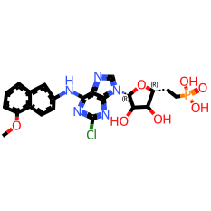 COc1cccc2cc(Nc3nc(Cl)nc4c3ncn4[C@@H]3O[C@H](CCP(=O)(O)O)C(O)C3O)ccc12